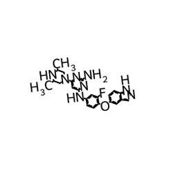 CC1CN(c2cc(Nc3ccc(Oc4ccc5[nH]ncc5c4)c(F)c3)nc(N)n2)CC(C)N1